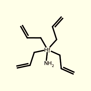 C=C[CH2][Hf]([NH2])([CH2]C=C)([CH2]C=C)[CH2]C=C